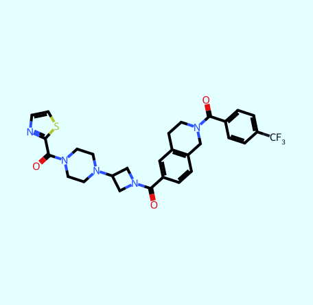 O=C(c1ccc(C(F)(F)F)cc1)N1CCc2cc(C(=O)N3CC(N4CCN(C(=O)c5nccs5)CC4)C3)ccc2C1